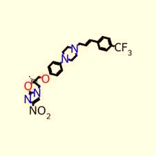 C[C@]1(COc2ccc(N3CCN(CC=Cc4ccc(C(F)(F)F)cc4)CC3)cc2)Cn2cc([N+](=O)[O-])nc2O1